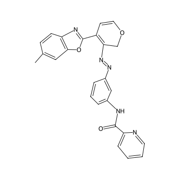 Cc1ccc2nc(C3=C(N=Nc4cccc(NC(=O)c5ccccn5)c4)COC=C3)oc2c1